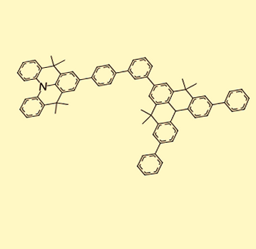 CC1(C)c2cc(-c3ccccc3)ccc2C2c3ccc(-c4ccccc4)cc3C(C)(C)c3cc(-c4cccc(-c5ccc(-c6cc7c8c(c6)C(C)(C)c6ccccc6N8c6ccccc6C7(C)C)cc5)c4)cc1c32